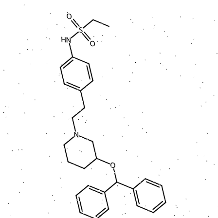 CCS(=O)(=O)Nc1ccc(CCN2CCCC(OC(c3ccccc3)c3ccccc3)C2)cc1